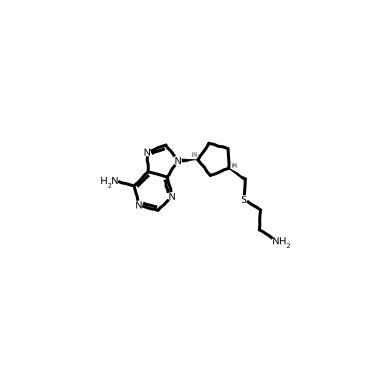 NCCSC[C@@H]1CC[C@H](n2cnc3c(N)ncnc32)C1